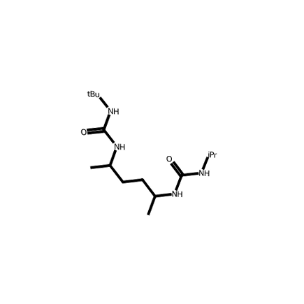 CC(C)NC(=O)NC(C)CCC(C)NC(=O)NC(C)(C)C